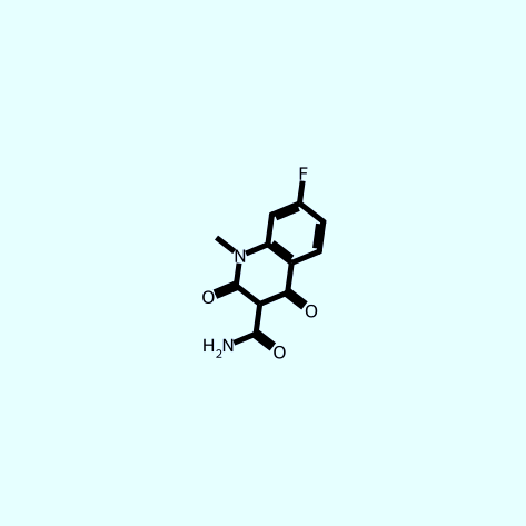 CN1C(=O)C(C(N)=O)C(=O)c2ccc(F)cc21